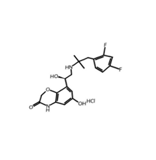 CC(C)(Cc1ccc(F)cc1F)NC[C@H](O)c1cc(O)cc2c1OCC(=O)N2.Cl